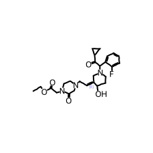 CCOC(=O)CN1CCN(C/C=C2\CN(C(C(=O)C3CC3)c3ccccc3F)CCC2O)CC1=O